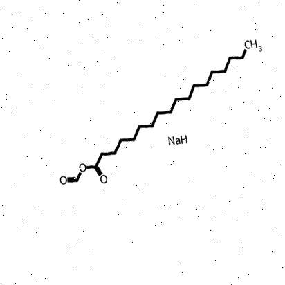 CCCCCCCCCCCCCCCCCC(=O)OC=O.[NaH]